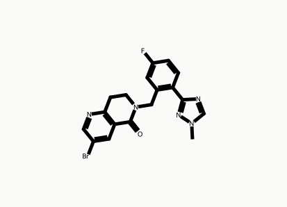 Cn1cnc(-c2ccc(F)cc2CN2CCc3ncc(Br)cc3C2=O)n1